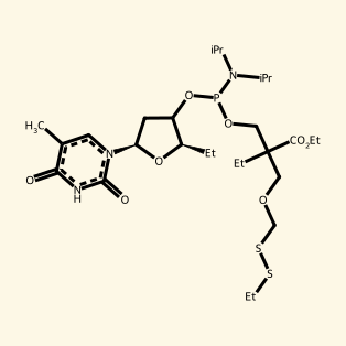 CCOC(=O)C(CC)(COCSSCC)COP(OC1C[C@H](n2cc(C)c(=O)[nH]c2=O)O[C@@H]1CC)N(C(C)C)C(C)C